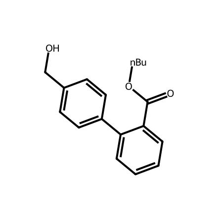 CCCCOC(=O)c1ccccc1-c1ccc(CO)cc1